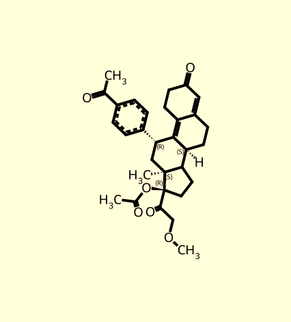 COCC(=O)[C@@]1(OC(C)=O)CCC2[C@@H]3CCC4=CC(=O)CCC4=C3[C@@H](c3ccc(C(C)=O)cc3)C[C@@]21C